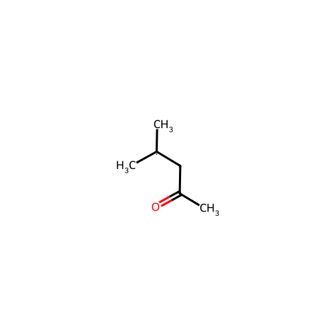 C[C](C)CC(C)=O